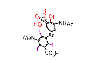 CC(=O)Nc1cccc([As](=O)(O)O)c1O.CNc1c(I)c(C(C)=O)c(I)c(C(=O)O)c1I